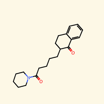 O=C1c2ccccc2CCC1CCCCC(=O)N1CCCCC1